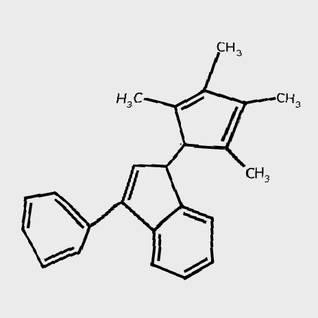 CC1=C(C)C(C)=C(C)[C]1C1C=C(c2ccccc2)c2ccccc21